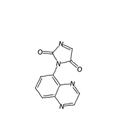 O=C1C=NC(=O)N1c1cccc2nccnc12